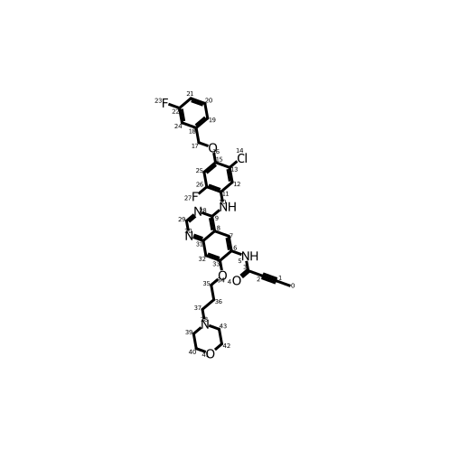 CC#CC(=O)Nc1cc2c(Nc3cc(Cl)c(OCc4cccc(F)c4)cc3F)ncnc2cc1OCCCN1CCOCC1